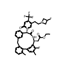 CCOC(=O)C[C@@H]1NC(=O)[C@H](n2cc(CCN3CC(F)C3)c(C(F)(F)F)cc2=O)c2cccc(c2)Cc2cccc(C)c2-c2cc(C)c(F)c1c2